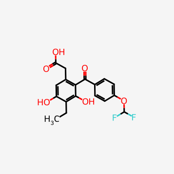 CCc1c(O)cc(CC(=O)O)c(C(=O)c2ccc(OC(F)F)cc2)c1O